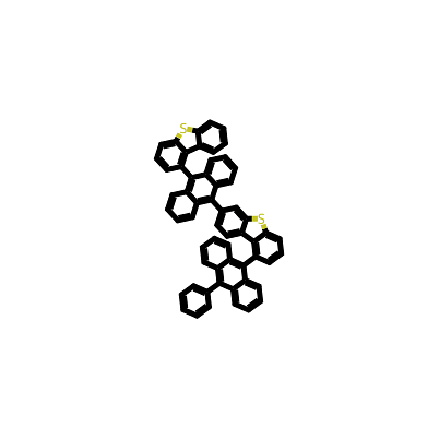 c1ccc(-c2c3ccccc3c(-c3cccc4sc5cc(-c6c7ccccc7c(-c7cccc8sc9ccccc9c78)c7ccccc67)ccc5c34)c3ccccc23)cc1